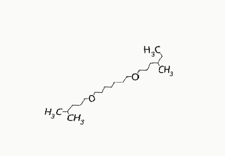 CCC(C)CCCOCCCCCCCOCCCC(C)C